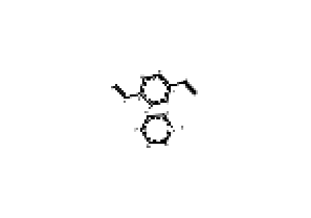 C=Cc1ccc(C=C)cc1.c1ccncc1